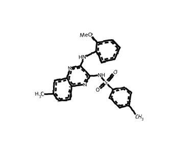 COc1ccccc1Nc1nc2cc(C)ccc2nc1NS(=O)(=O)c1ccc(C)cc1